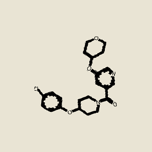 O=C(c1cncc(OC2CCOCC2)c1)N1CCC(Oc2ccc(Cl)cc2)CC1